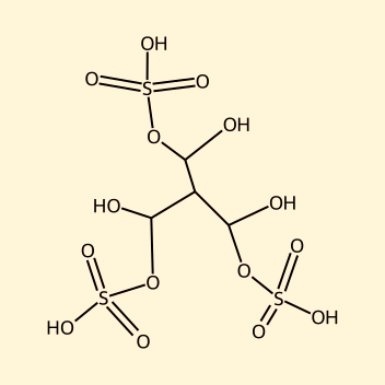 O=S(=O)(O)OC(O)C(C(O)OS(=O)(=O)O)C(O)OS(=O)(=O)O